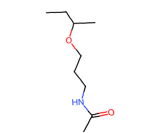 CCC(C)OCCCNC(C)=O